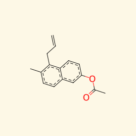 C=CCc1c(C)ccc2cc(OC(C)=O)ccc12